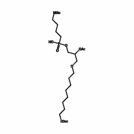 CCCCCCCCCCCCCCCCCCOCC(COP(=O)(O)CCCCNC)OC(C)=O